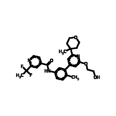 Cc1ccc(NC(=O)c2ccnc(C(C)(F)F)c2)cc1-c1cc(OCCO)nc(C2(C)CCOCC2)c1